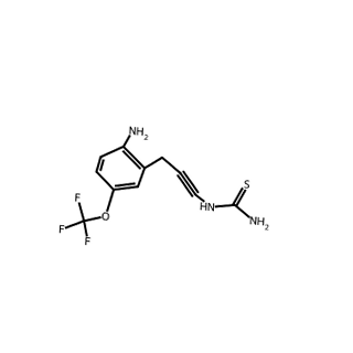 NC(=S)NC#CCc1cc(OC(F)(F)F)ccc1N